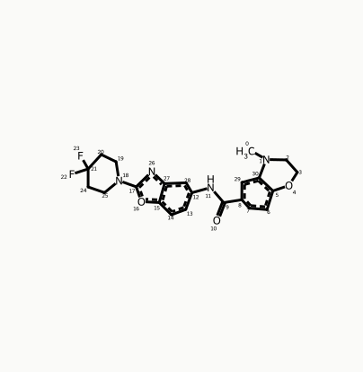 CN1CCOc2ccc(C(=O)Nc3ccc4oc(N5CCC(F)(F)CC5)nc4c3)cc21